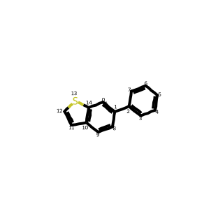 [c]1c(-c2ccccc2)ccc2ccsc12